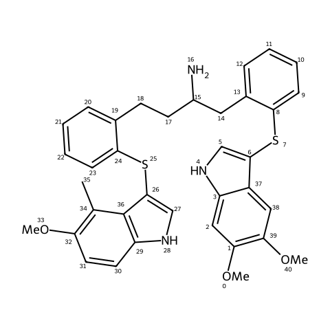 COc1cc2[nH]cc(Sc3ccccc3CC(N)CCc3ccccc3Sc3c[nH]c4ccc(OC)c(C)c34)c2cc1OC